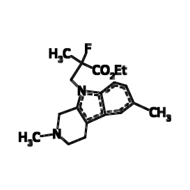 CCOC(=O)C(C)(F)Cn1c2c(c3cc(C)ccc31)CCN(C)C2